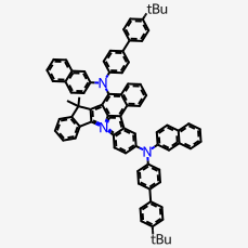 CC(C)(C)c1ccc(-c2ccc(N(c3ccc4ccccc4c3)c3ccc4c(c3)c3c5ccccc5c(N(c5ccc(-c6ccc(C(C)(C)C)cc6)cc5)c5ccc6ccccc6c5)c5c6c(n4c53)-c3ccccc3C6(C)C)cc2)cc1